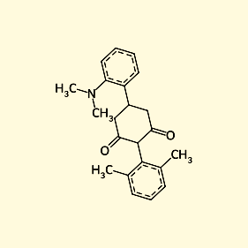 Cc1cccc(C)c1C1C(=O)CC(c2ccccc2N(C)C)CC1=O